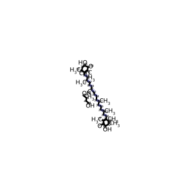 CC1=C(/C=C/C(C)=C/C=C/C(C)=C/C=C/C=C(C)/C=C/C=C(C)/C=C/C2=C(C)C(=O)[C@@H](O)CC2(C)C)C(C)(C)C[C@H](O)C1=O.OCCCCO